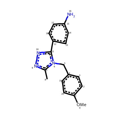 COc1ccc(Cn2c(C)nnc2-c2ccc(N)cc2)cc1